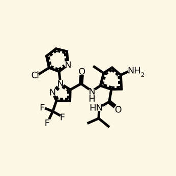 Cc1cc(N)cc(C(=O)NC(C)C)c1NC(=O)c1cc(C(F)(F)F)nn1-c1ncccc1Cl